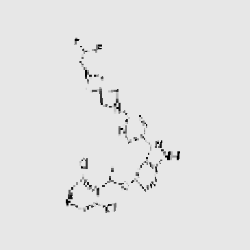 CC(Oc1ccc2[nH]nc(-c3ccc(N4CC5(CN(CC(F)F)C5)C4)nc3)c2c1)c1c(Cl)cncc1Cl